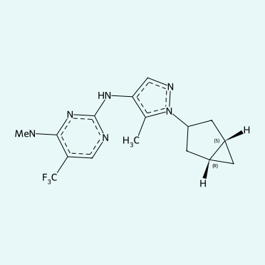 CNc1nc(Nc2cnn(C3C[C@@H]4C[C@@H]4C3)c2C)ncc1C(F)(F)F